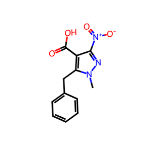 Cn1nc([N+](=O)[O-])c(C(=O)O)c1Cc1ccccc1